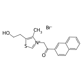 Cc1c(CCO)sc[n+]1CC(=O)c1ccc2ccccc2c1.[Br-]